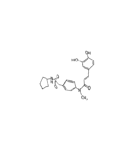 CN(C(=O)C=Cc1ccc(O)c(O)c1)c1ccc(S(=O)(=O)NC2CCCC2)cc1